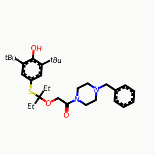 CCC(CC)(OCC(=O)N1CCN(Cc2ccccc2)CC1)Sc1cc(C(C)(C)C)c(O)c(C(C)(C)C)c1